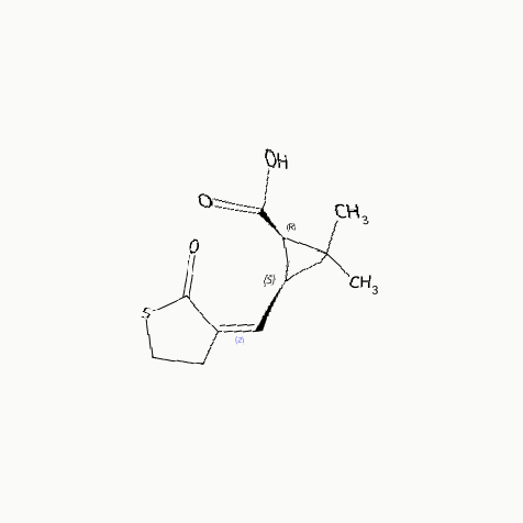 CC1(C)[C@H](C(=O)O)[C@@H]1/C=C1/CCSC1=O